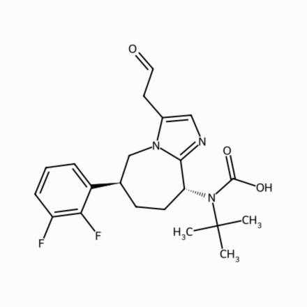 CC(C)(C)N(C(=O)O)[C@@H]1CC[C@@H](c2cccc(F)c2F)Cn2c(CC=O)cnc21